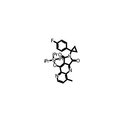 Cc1ccnc2c(O[Si](C(C)C)(C(C)C)C(C)C)c3c(nc12)C(=O)N(C1(c2ccc(F)cc2)CC1)C3=O